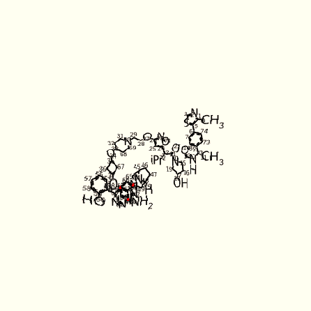 Cc1ncsc1-c1ccc([C@H](C)NC(=O)[C@@H]2C[C@@H](O)CN2C(=O)[C@H](c2cc(OCCN3CCC(OC4CC(Oc5cnnc(N6C7CC[C@@H]6CN(c6cc(-c8ccccc8O)nnc6N)C7)c5)C4)CC3)no2)C(C)C)cc1